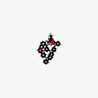 FC(F)(F)c1ccc(C(F)(F)F)c(-c2nc(-c3cc(-n4c5ccccc5c5ccc(-n6c7ccccc7c7ccccc76)cc54)cc(-n4c5ccccc5c5ccc(-n6c7ccccc7c7ccccc76)cc54)c3)c3c(ccc4ccccc43)n2)c1